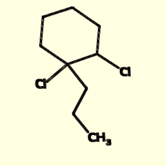 CCCC1(Cl)CCCCC1Cl